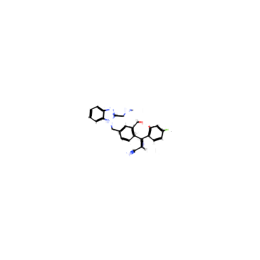 CNCc1nc2ccccc2n1Cc1ccc2c(c1)COc1cc(F)ccc1/C2=C(\C)C#N